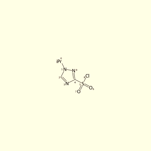 CC(C)n1cnc(S(=O)(=O)Cl)n1